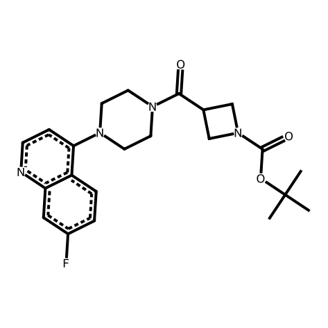 CC(C)(C)OC(=O)N1CC(C(=O)N2CCN(c3ccnc4cc(F)ccc34)CC2)C1